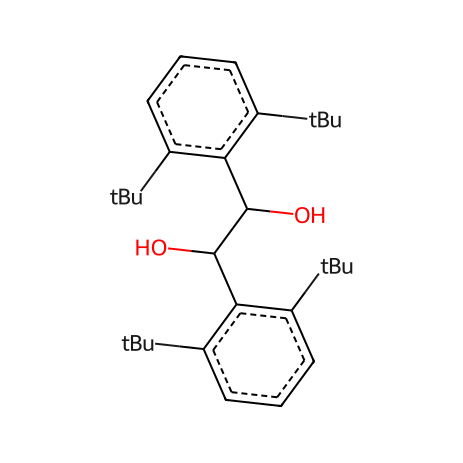 CC(C)(C)c1cccc(C(C)(C)C)c1C(O)C(O)c1c(C(C)(C)C)cccc1C(C)(C)C